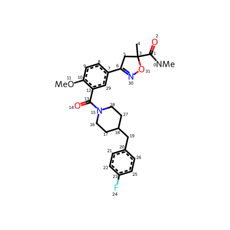 CNC(=O)C1(C)CC(c2ccc(OC)c(C(=O)N3CCC(Cc4ccc(F)cc4)CC3)c2)=NO1